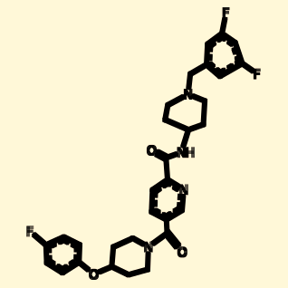 O=C(NC1CCN(Cc2cc(F)cc(F)c2)CC1)c1ccc(C(=O)N2CCC(Oc3ccc(F)cc3)CC2)cn1